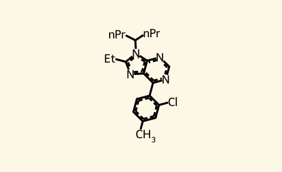 CCCC(CCC)n1c(CC)nc2c(-c3ccc(C)cc3Cl)ncnc21